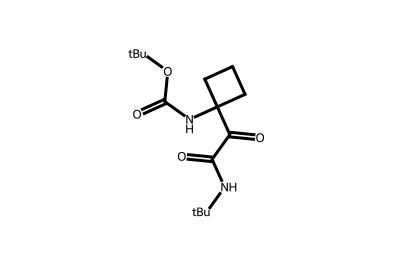 CC(C)(C)NC(=O)C(=O)C1(NC(=O)OC(C)(C)C)CCC1